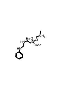 CO[Si](CC(C)NCNc1ccccc1)(OC)OC[SiH2]C